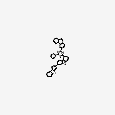 C1=CC2C=Cc3ccc(-c4nc(-c5ccccc5)nc(C5CC=Cc6oc7cc(-c8ccc9c(c8)oc8ccccc89)ccc7c65)n4)cc3C2C=C1